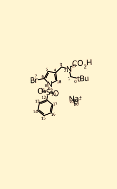 CC(C)(C)CN(Cc1cc(Br)n(S(=O)(=O)c2ccccc2)c1)C(=O)O.[H-].[Na+]